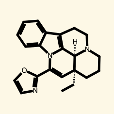 CC[C@@]12C=C(c3ncco3)n3c4c(c5ccccc53)CCN(CCC1)[C@H]42